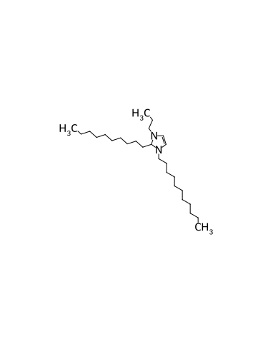 CCCCCCCCCCCN1C=CN(CCC)C1CCCCCCCCCC